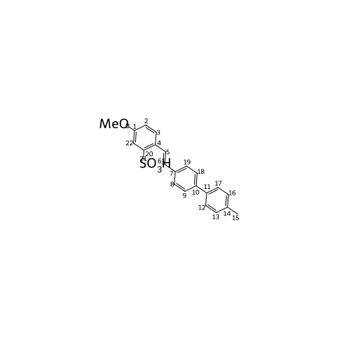 COc1ccc(C=Cc2ccc(-c3ccc(C)cc3)cc2)c(S(=O)(=O)O)c1